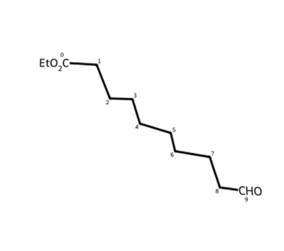 CCOC(=O)CCCCCCCCC=O